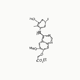 CCOC(=O)COc1cc2ncnc(Nc3cc(F)cc(O)c3C)c2cc1OC